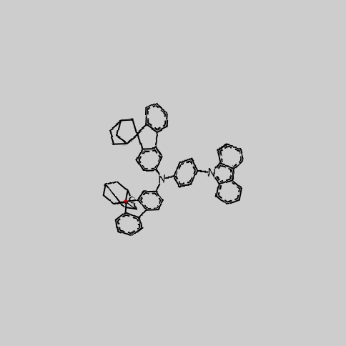 c1ccc2c(c1)-c1cc(N(c3ccc(-n4c5ccccc5c5ccccc54)cc3)c3ccc4c(c3)C3(c5ccccc5-4)C4CC5CC(C4)CC3C5)ccc1C21CC2CCC1C2